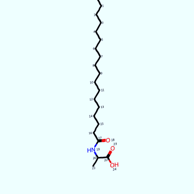 CCCCCCCCCCCCCCCCCC(=O)NC(C)C(=O)O